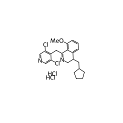 COc1cccc2c1C(Cc1c(Cl)cncc1Cl)=NCC2CC1CCCC1.Cl.Cl